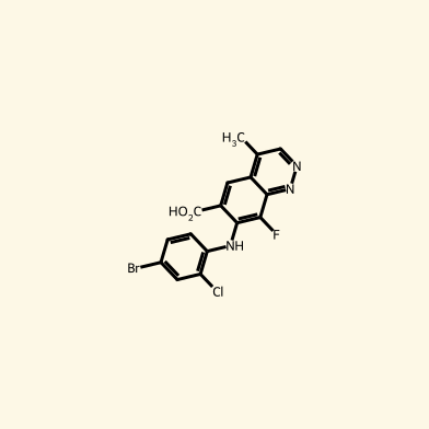 Cc1cnnc2c(F)c(Nc3ccc(Br)cc3Cl)c(C(=O)O)cc12